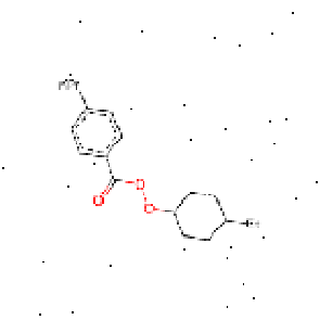 CCCc1ccc(C(=O)OO[C]2CCC(CC)CC2)cc1